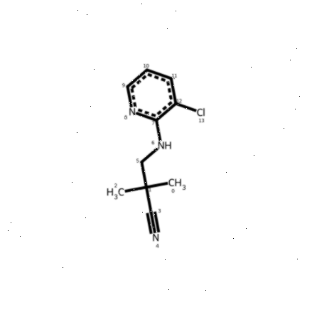 CC(C)(C#N)CNc1ncc[c]c1Cl